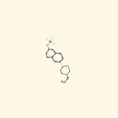 C=C[C@H]1CC[C@H](c2ccc3cc(OC(F)(F)F)ccc3c2)CC1